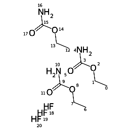 CCOC(N)=O.CCOC(N)=O.CCOC(N)=O.F.F.F